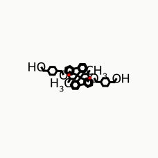 CC(CC1(C2(CC(C)C(=O)OCC3CCC(CO)CC3)c3ccccc3-c3ccccc32)c2ccccc2-c2ccccc21)C(=O)OCC1CCC(CO)CC1